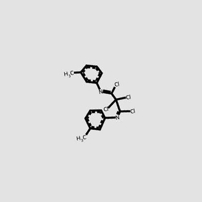 Cc1cccc(/N=C(\Cl)C(Cl)(Cl)/C(Cl)=N\c2cccc(C)c2)c1